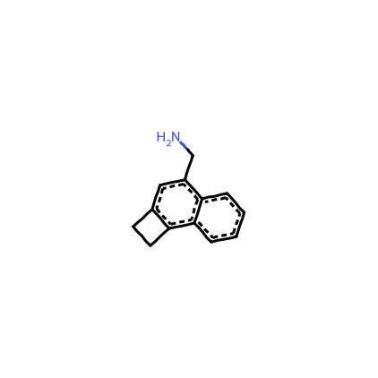 NCc1cc2c(c3ccccc13)CC2